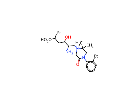 CCc1ccccc1N1CC(C)(C)N(CC(N)C(O)CC(C(=O)O)C(C)C)CC1=O